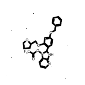 O=C(ON1c2cccnc2NC1c1ccc(OCc2ccccc2)cc1OCC1CCCO1)C(F)(F)F